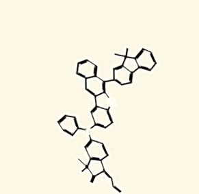 C=C/C=C1\C(=C)C(C)(C)c2cc(N(c3ccccc3)c3ccc4oc5c(-c6ccc7c(c6)C(C)(C)c6ccccc6-7)c6ccccc6cc5c4c3)ccc21